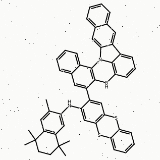 Cc1cc2c(cc1Nc1cc3c(cc1-c1cc4ccccc4c4c1Bc1cccc5c6cc7ccccc7cc6n-4c15)Sc1ccccc1S3)C(C)(C)CCC2(C)C